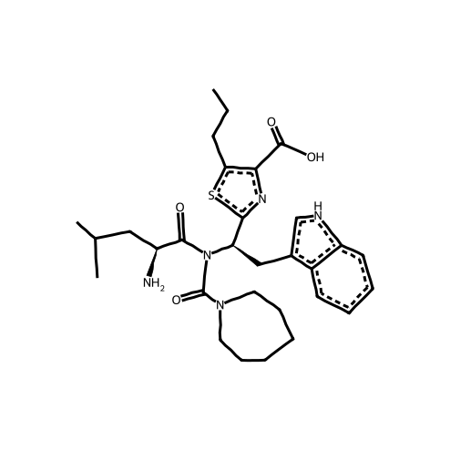 CCCc1sc([C@@H](Cc2c[nH]c3ccccc23)N(C(=O)[C@@H](N)CC(C)C)C(=O)N2CCCCCC2)nc1C(=O)O